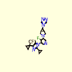 Cc1c(C2(C(F)(F)F)CC2)nc(C2CC2)n1-c1cncc(N2CC3C(C2)C3n2cnnc2)c1F